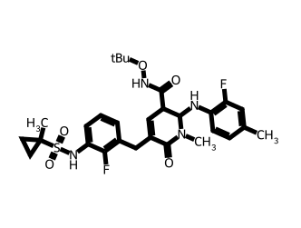 Cc1ccc(NC2C(C(=O)NOC(C)(C)C)C=C(Cc3cccc(NS(=O)(=O)C4(C)CC4)c3F)C(=O)N2C)c(F)c1